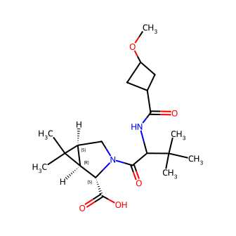 COC1CC(C(=O)NC(C(=O)N2C[C@H]3[C@@H]([C@H]2C(=O)O)C3(C)C)C(C)(C)C)C1